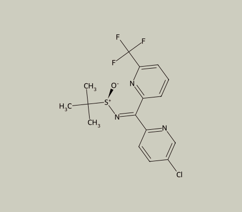 CC(C)(C)[S@@+]([O-])N=C(c1ccc(Cl)cn1)c1cccc(C(F)(F)F)n1